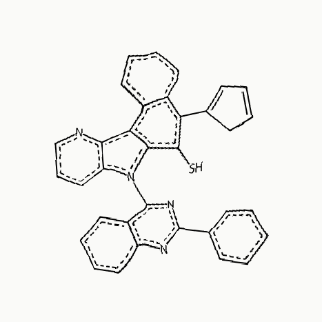 Sc1c(C2=CC=CC2)c2ccccc2c2c3ncccc3n(-c3nc(-c4ccccc4)nc4ccccc34)c12